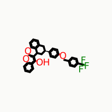 O=c1oc2ccccc2c(O)c1C1C[C@H](c2ccc(OCc3ccc(C(F)(F)F)cc3)cc2)Cc2ccccc21